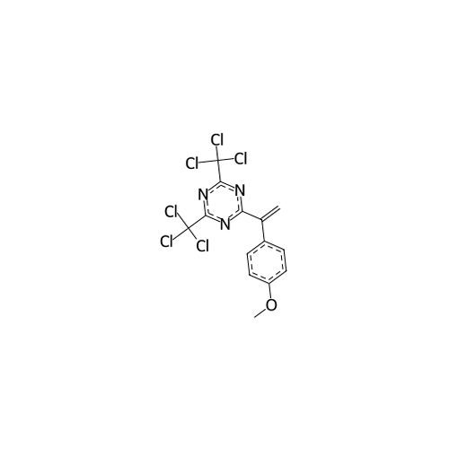 C=C(c1ccc(OC)cc1)c1nc(C(Cl)(Cl)Cl)nc(C(Cl)(Cl)Cl)n1